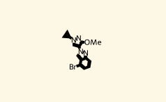 COc1nn(C2CC2)cc1-n1cc2c(Br)cccc2n1